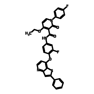 CCOc1ccn(-c2ccc(F)cc2)c(=O)c1C(=O)Nc1ccc(Oc2ccnc3cc(-c4ccccc4)sc23)c(F)c1